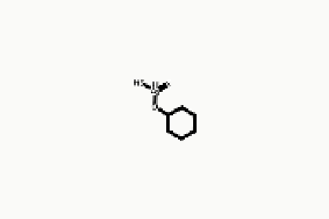 S=[AsH](S)OC1CCCCC1